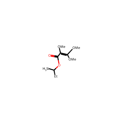 CCC([SiH3])OC(=O)C(OC)=C(OC)OC